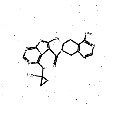 COc1nccc2c1CCN(C(=O)c1c(C)oc3ncnc(NC4(C)CC4)c13)C2